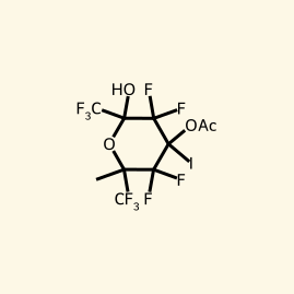 CC(=O)OC1(I)C(F)(F)C(C)(C(F)(F)F)OC(O)(C(F)(F)F)C1(F)F